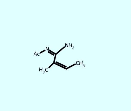 C/C=C(C)\C(N)=N/C(C)=O